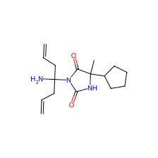 C=CCC(N)(CC=C)N1C(=O)NC(C)(C2CCCC2)C1=O